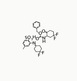 Cc1ccc(S(=O)(=O)O)c(N=C2CCC(F)(F)CC2)c1.O=C(NC1CC(F)(F)CCC1=O)OCc1ccccc1